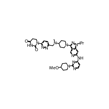 COC1CCN(c2nccc(Nc3cc4c(cn3)c(N3CCC(N(C)Cc5ccc(N6CCC(=O)NC6=O)nn5)CC3)nn4C(C)C)n2)CC1